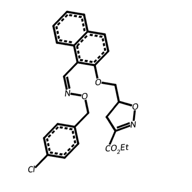 CCOC(=O)C1=NOC(COc2ccc3ccccc3c2/C=N\OCc2ccc(Cl)cc2)C1